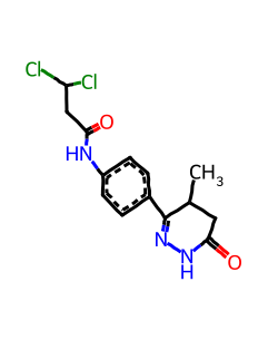 CC1CC(=O)NN=C1c1ccc(NC(=O)CC(Cl)Cl)cc1